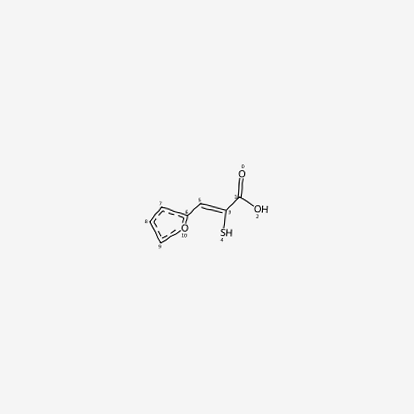 O=C(O)C(S)=Cc1ccco1